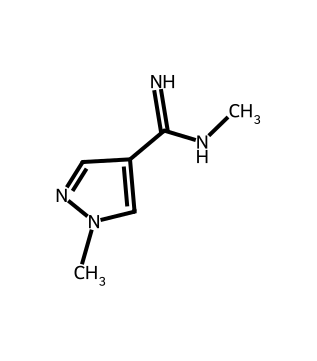 CNC(=N)c1cnn(C)c1